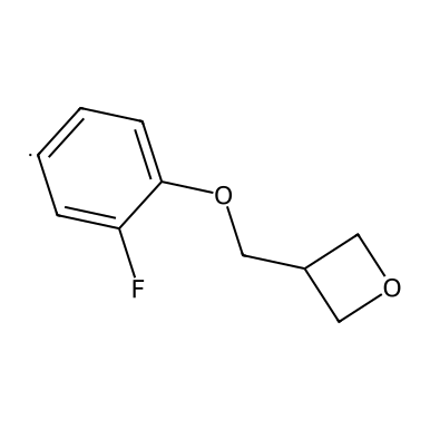 Fc1c[c]ccc1OCC1COC1